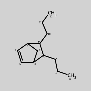 CCCC1C2C=CC(C2)C1CCC